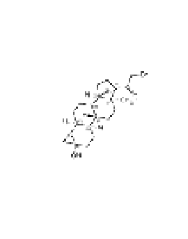 C[C@]12CC[C@@H]3[C@H]4CC[C@]5(O)CC5[C@H]4CC[C@H]3[C@@H]1CC[C@@H]2C(=O)CBr